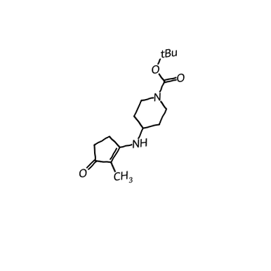 CC1=C(NC2CCN(C(=O)OC(C)(C)C)CC2)CCC1=O